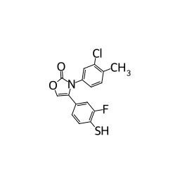 Cc1ccc(-n2c(-c3ccc(S)c(F)c3)coc2=O)cc1Cl